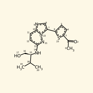 CC(=O)c1ccc(-c2cnc3ccc(N[C@H](CO)C(C)C)nn23)s1